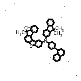 CC1(C)c2ccccc2-c2ccc(N(c3ccc(-c4cccc5ccccc45)cc3)c3ccc4sc5ccc6c(c5c4c3)-c3ccccc3C6(C)C)cc21